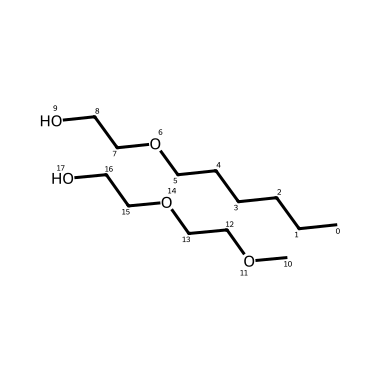 CCCCCCOCCO.COCCOCCO